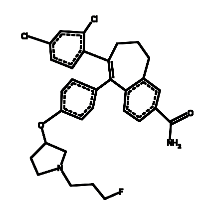 NC(=O)c1ccc2c(c1)CCCC(c1ccc(Cl)cc1Cl)=C2c1ccc(OC2CCN(CCCF)C2)cc1